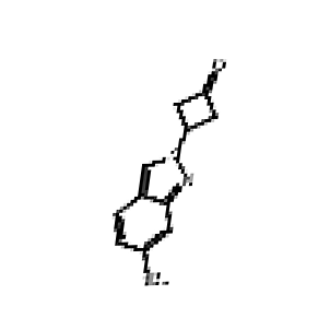 CC(C)(C)c1ccc2cn(C3CC(=O)C3)nc2c1